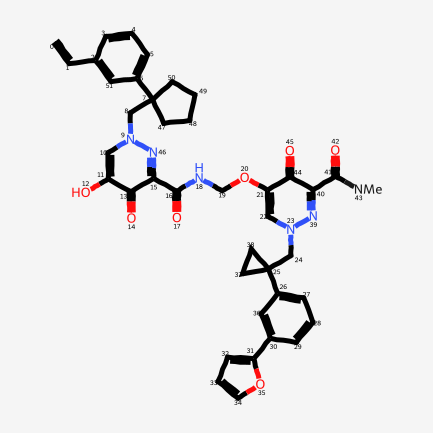 C=Cc1cccc(C2(Cn3cc(O)c(=O)c(C(=O)NCOc4cn(CC5(c6cccc(-c7ccco7)c6)CC5)nc(C(=O)NC)c4=O)n3)CCCC2)c1